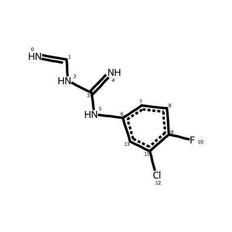 N=CNC(=N)Nc1ccc(F)c(Cl)c1